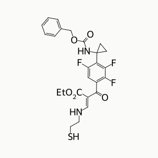 CCOC(=O)/C(=C\NCCS)C(=O)c1cc(F)c(C2(NC(=O)OCc3ccccc3)CC2)c(F)c1F